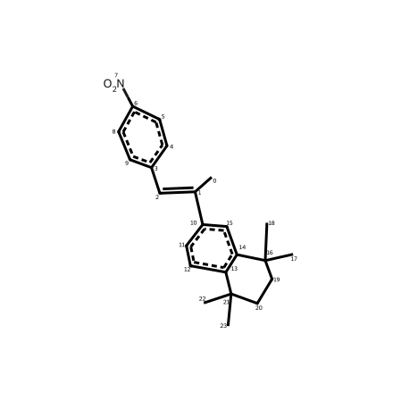 CC(=Cc1ccc([N+](=O)[O-])cc1)c1ccc2c(c1)C(C)(C)CCC2(C)C